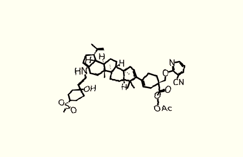 C=C(C)[C@@H]1CC[C@]2(NCCC3(O)CCC(S(C)(=O)=O)CC3)CC[C@]3(C)[C@H](CC[C@@H]4[C@@]5(C)CC=C(C6=CC[C@@](COc7ncccc7C#N)(C(=O)OCOC(C)=O)CC6)C(C)(C)[C@@H]5CC[C@]43C)[C@@H]12